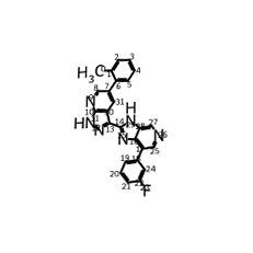 Cc1ccccc1-c1cnc2[nH]nc(-c3nc4c(-c5cccc(F)c5)cncc4[nH]3)c2c1